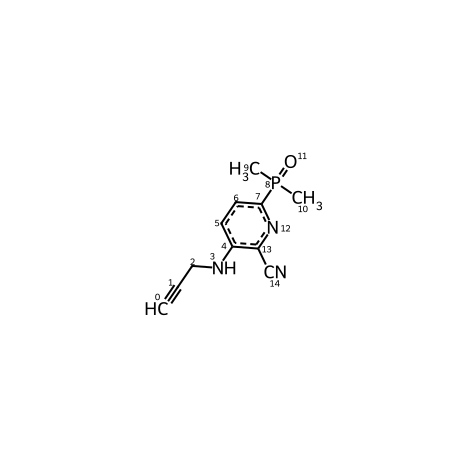 C#CCNc1ccc(P(C)(C)=O)nc1C#N